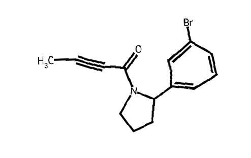 CC#CC(=O)N1CCCC1c1cccc(Br)c1